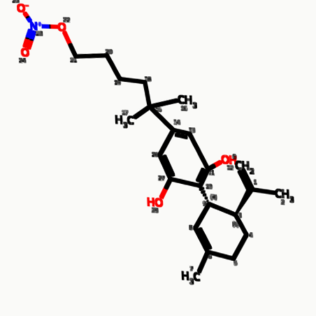 C=C(C)[C@H]1CCC(C)=C[C@@H]1c1c(O)cc(C(C)(C)CCCCO[N+](=O)[O-])cc1O